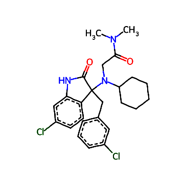 CN(C)C(=O)CN(C1CCCCC1)C1(Cc2cccc(Cl)c2)C(=O)Nc2cc(Cl)ccc21